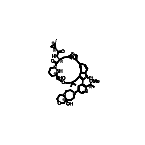 CCn1c(-c2cc(N3CCN4CCOC[C@@]4(O)CC3)cnc2[C@H](C)OC)c2c3cc(ccc31)-c1csc(n1)C[C@H](NC(=O)[C@H]1C[C@@H]1C)C(=O)N1CCC[C@](C=O)(COCC(C)(C)C2)N1